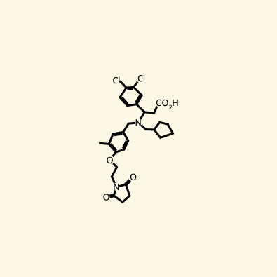 Cc1cc(CN(CC2CCCC2)C(CC(=O)O)c2ccc(Cl)c(Cl)c2)ccc1OCCN1C(=O)CCC1=O